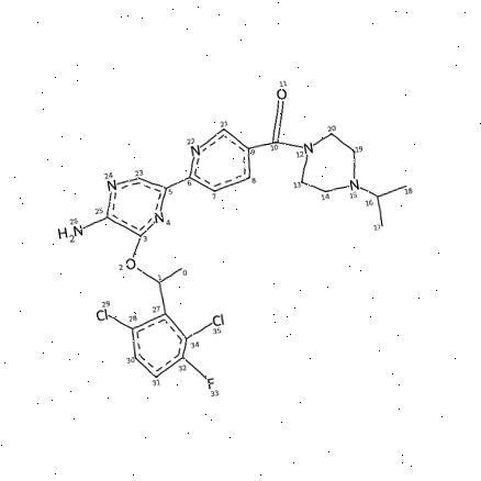 CC(Oc1nc(-c2ccc(C(=O)N3CCN(C(C)C)CC3)cn2)cnc1N)c1c(Cl)ccc(F)c1Cl